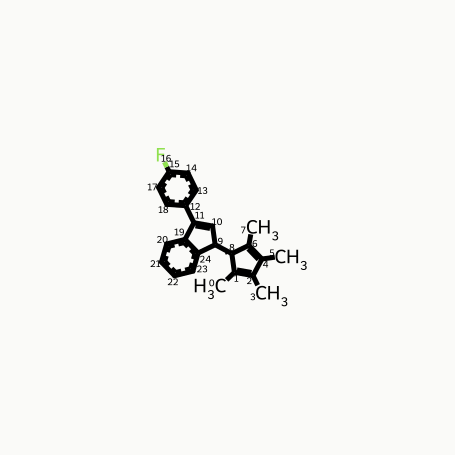 CC1=C(C)C(C)=C(C)[C]1C1C=C(c2ccc(F)cc2)c2ccccc21